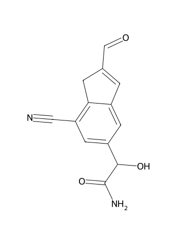 N#Cc1cc(C(O)C(N)=O)cc2c1CC(C=O)=C2